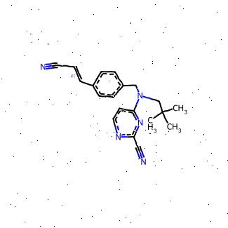 CC(C)(C)CN(Cc1ccc(/C=C/C#N)cc1)c1ccnc(C#N)n1